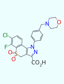 O=C(O)c1nn(-c2ccc(CN3CCOCC3)cc2)c2c1CS(=O)(=O)c1c-2ccc(Cl)c1F